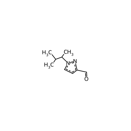 CC(C)C(C)n1ccc(C=O)n1